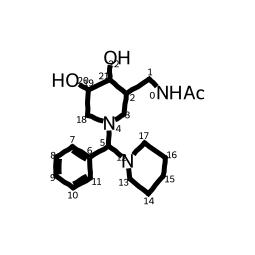 CC(=O)NCC1CN(C(c2ccccc2)N2CCCCC2)CC(O)C1O